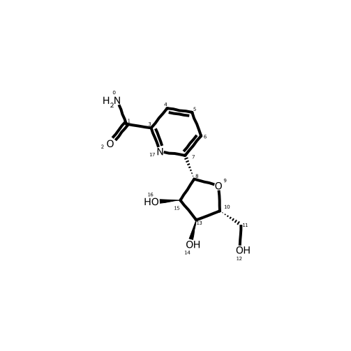 NC(=O)c1cccc([C@@H]2O[C@H](CO)[C@@H](O)[C@H]2O)n1